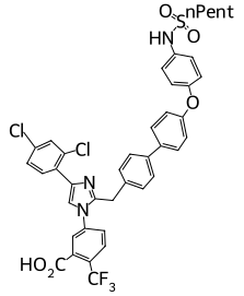 CCCCCS(=O)(=O)Nc1ccc(Oc2ccc(-c3ccc(Cc4nc(-c5ccc(Cl)cc5Cl)cn4-c4ccc(C(F)(F)F)c(C(=O)O)c4)cc3)cc2)cc1